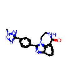 Cn1nnc(-c2ccc(-c3nc4cccc5c4n3CCNC5=O)cc2)n1